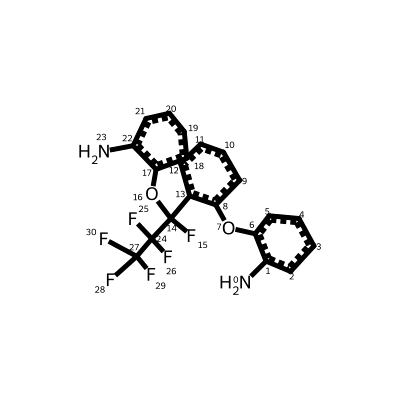 Nc1ccccc1Oc1ccccc1C(F)(Oc1ccccc1N)C(F)(F)C(F)(F)F